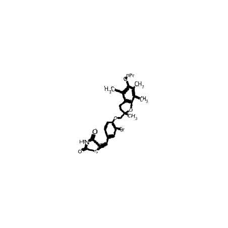 CCCOc1c(C)c(C)c2c(c1C)CCC(C)(COc1ccc(C=C3SC(=O)NC3=O)cc1Br)O2